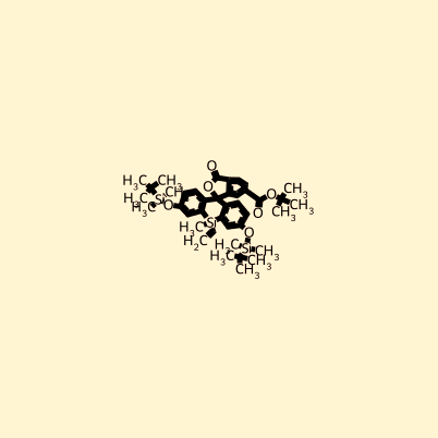 C=C[Si]1(C)c2cc(O[Si](C)(C)C(C)(C)C)ccc2C2(OC(=O)c3ccc(C(=O)OC(C)(C)C)cc32)c2ccc(O[Si](C)(C)C(C)(C)C)cc21